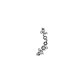 CC(C)(C)OC(=O)NCC1CCN(Cc2ccc(-n3ccc(NC(=O)n4ccnc4)nc3=O)cc2)CC1